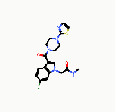 CNC(=O)Cn1cc(C(=O)N2CCN(c3nccs3)CC2)c2ccc(Cl)cc21